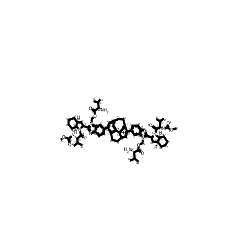 COC(=O)N[C@H](C(=O)N1C(c2nc3ccc(C4=CC5CCc6c(-c7ccc8nc(C9C[C@@H]%10CCCC[C@@H]%10N9C(=O)[C@@H](NC(=O)OC)C(C)C)n(COC(=O)[C@@H](N)C(C)C)c8c7)cc7cc6[C@H]5C=C4CC7)cc3n2COC(=O)[C@@H](N)C(C)C)C[C@@H]2CCCC[C@@H]21)C(C)C